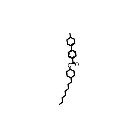 CCCCCCCCC1CCC(OC(=O)c2ccc(C3=CCC(C)CC3)cc2)CC1